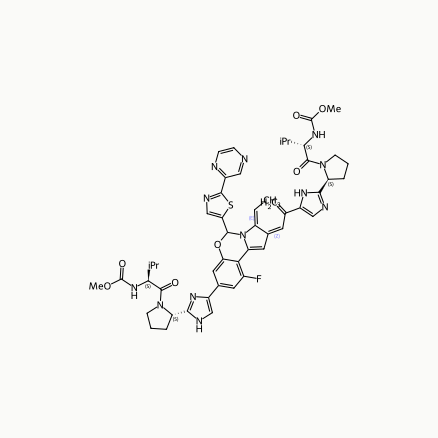 C=C(/C=c1/cc2n(/c1=C/C)C(c1cnc(-c3cnccn3)s1)Oc1cc(-c3c[nH]c([C@@H]4CCCN4C(=O)[C@@H](NC(=O)OC)C(C)C)n3)cc(F)c1-2)c1cnc([C@@H]2CCCN2C(=O)[C@@H](NC(=O)OC)C(C)C)[nH]1